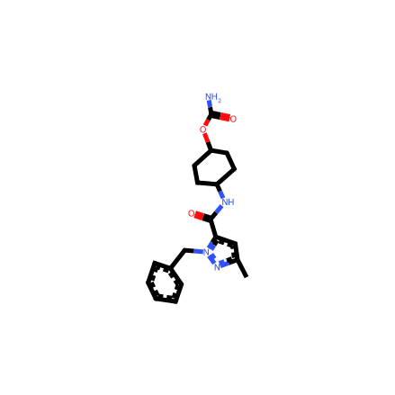 Cc1cc(C(=O)NC2CCC(OC(N)=O)CC2)n(Cc2ccccc2)n1